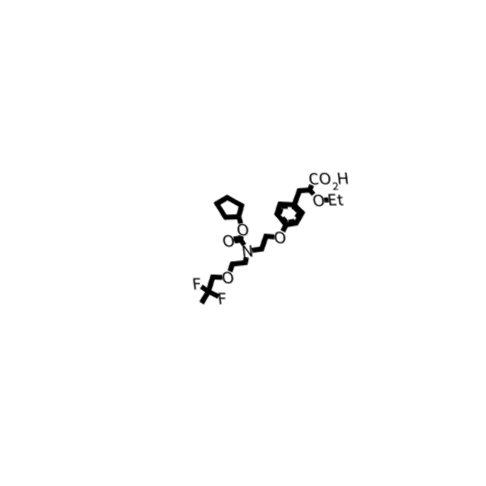 CCOC(Cc1ccc(OCCN(CCOCC(C)(F)F)C(=O)OC2CCCC2)cc1)C(=O)O